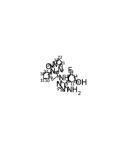 CC(Nc1ncnc(N)c1-c1cc(O)cc(F)c1)c1nc2cccn2c(=O)n1-c1ccccc1